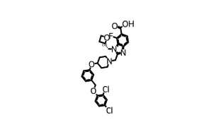 O=C(O)c1ccc2nc(CN3CCC(Oc4cccc(COc5ccc(Cl)cc5Cl)c4)CC3)n(C[C@@H]3CCO3)c2c1F